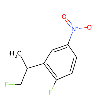 [CH2]C(CF)c1cc([N+](=O)[O-])ccc1F